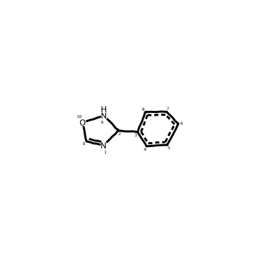 C1=N[C](c2ccccc2)NO1